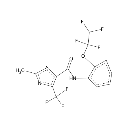 Cc1nc(C(F)(F)F)c(C(=O)Nc2ccccc2OC(F)(F)C(F)F)s1